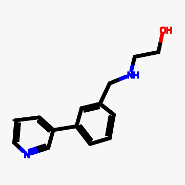 OCCNCc1cccc(-c2c[c]cnc2)c1